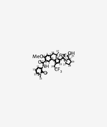 COc1cc2c(cc1C(=O)Nc1cccn(C)c1=O)-c1c(CC(F)(F)F)cc(C(=O)N3CCC[C@]3(C)[C@H](O)C(F)(F)F)n1[C@H](C)C2